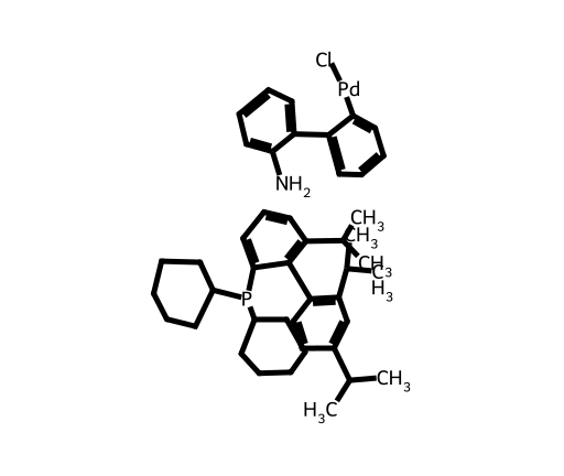 CC(C)c1ccc(-c2c(C(C)C)cccc2P(C2CCCCC2)C2CCCCC2)c(C(C)C)c1.Nc1ccccc1-c1cccc[c]1[Pd][Cl]